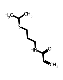 C=CC(=O)NCCCSC(C)C